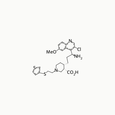 COc1ccc2ncc(Cl)c([C@@H](N)CC[C@H]3CCN(CCSc4ccsc4)C[C@H]3C(=O)O)c2c1